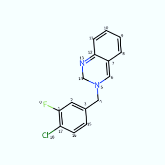 Fc1cc(CN2C=c3ccccc3=NC2)ccc1Cl